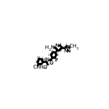 Cn1cc(-c2cnc(N)c(-c3ccc(C(=O)NC(CO)c4cccc(Cl)c4)c(F)c3)c2)nn1